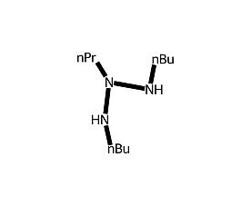 CCCCNN(CCC)NCCCC